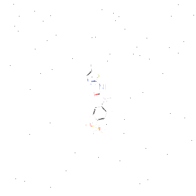 Cc1cnc(NC(=O)I(C)c2ccc(S(C)(=O)=O)cc2)s1